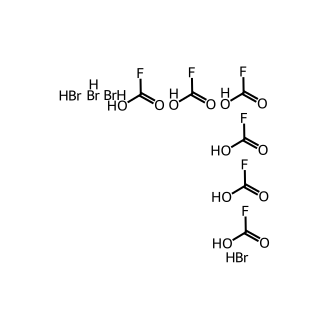 Br.Br.Br.Br.O=C(O)F.O=C(O)F.O=C(O)F.O=C(O)F.O=C(O)F.O=C(O)F